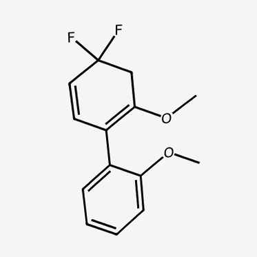 COC1=C(c2ccccc2OC)C=CC(F)(F)C1